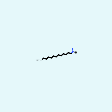 [2H]NCCCCCCCCCCCCCCCCCCCCC